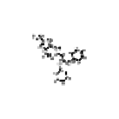 Cn1nc(N)nc1NCCC(CN1CCCCC1)Oc1ccccc1